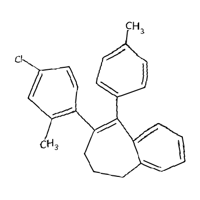 Cc1ccc(C2=C(c3ccc(Cl)cc3C)CCCc3ccccc32)cc1